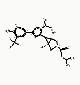 CC(C)OC(=O)N1C[C@@H]2C(c3cc(-c4cnc(N)c(C(F)(F)F)c4)nn3C(C)C)[C@@H]2C1